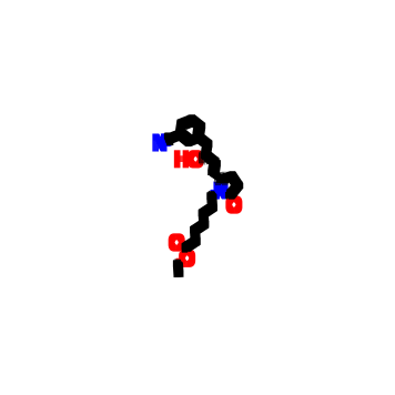 CCOC(=O)CCCCCCN1C(=O)CC[C@@H]1C=C[C@@H](O)Cc1cccc(C#N)c1